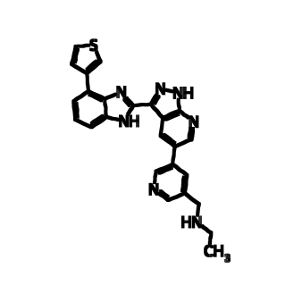 CCNCc1cncc(-c2cnc3[nH]nc(-c4nc5c(-c6ccsc6)cccc5[nH]4)c3c2)c1